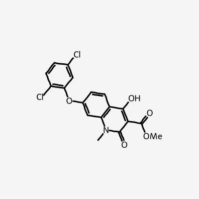 COC(=O)c1c(O)c2ccc(Oc3cc(Cl)ccc3Cl)cc2n(C)c1=O